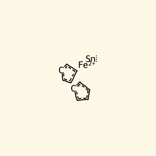 [Fe+2].[Sn].c1cc[cH-]c1.c1cc[cH-]c1